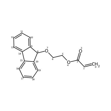 C=CC(=O)OCCOC1c2ccccc2-c2ccccc21